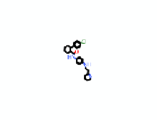 O=C(Nc1ccc(NCCc2ccccn2)cc1)C1=C(c2ccc(Cl)cc2)CCCC1